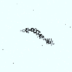 C[Si](C)(C)CCOCn1cc(-n2ccc(=O)c(Cc3cccc(-c4ncc(O)cn4)c3)n2)cn1